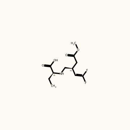 CC[C@H](NC[C@H](C=C(F)F)CC(=O)OC)C(=O)O